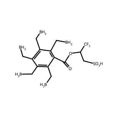 BCc1c(CB)c(CB)c(C(=O)OC(CS(=O)(=O)O)C(F)(F)F)c(CB)c1CB